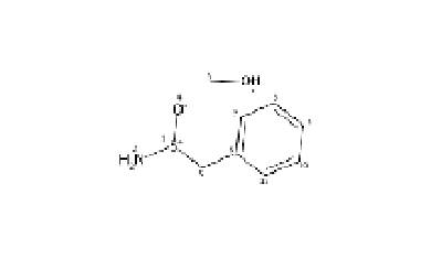 CO.N[S+]([O-])Cc1ccccc1